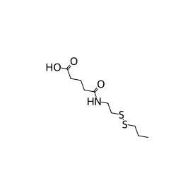 CCCSSCCNC(=O)CCCC(=O)O